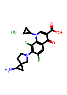 Cl.NC1CC12CCN(c1c(F)cc3c(=O)c(C(=O)O)cn(C4CC4)c3c1F)C2